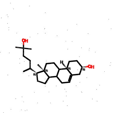 CC(CCC(C)(C)O)[C@H]1CCC2C3CC=C4C[C@@H](O)CC[C@@H]4C3CC[C@@]21C